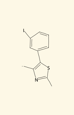 [CH2]c1nc(C)sc1-c1cccc(I)c1